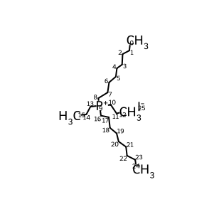 CCCCCCCCC[P+](CCC)(CCC)CCCCCCCCC.[I-]